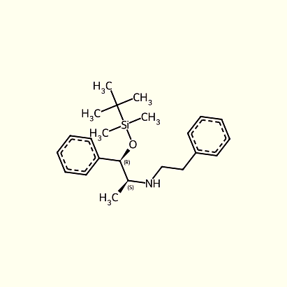 C[C@H](NCCc1ccccc1)[C@H](O[Si](C)(C)C(C)(C)C)c1ccccc1